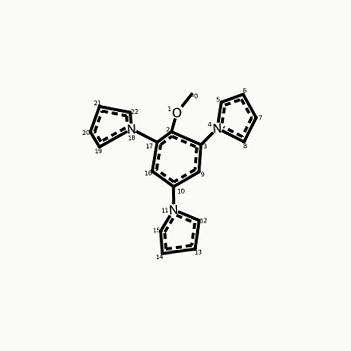 [CH2]Oc1c(-n2cccc2)cc(-n2cccc2)cc1-n1cccc1